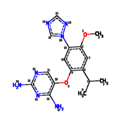 COc1cc(C(C)C)c(Oc2cnc(N)nc2N)cc1-n1cncn1